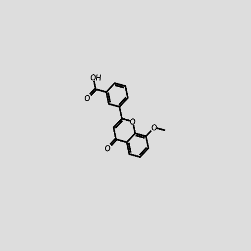 COc1cccc2c(=O)cc(-c3cccc(C(=O)O)c3)oc12